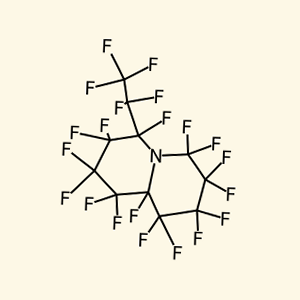 FC(F)(F)C(F)(F)C1(F)N2C(F)(F)C(F)(F)C(F)(F)C(F)(F)C2(F)C(F)(F)C(F)(F)C1(F)F